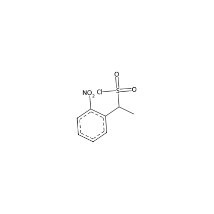 CC(c1ccccc1[N+](=O)[O-])S(=O)(=O)Cl